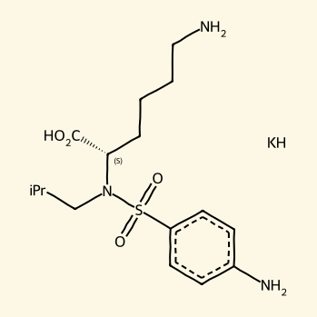 CC(C)CN([C@@H](CCCCN)C(=O)O)S(=O)(=O)c1ccc(N)cc1.[KH]